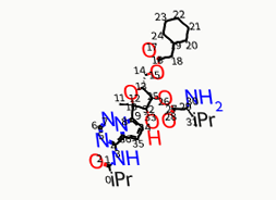 CC(C)C(=O)Nc1ncnn2c([C@]3(C)O[C@H](COC(=O)CC4CCCCC4)[C@@H](OC(=O)[C@@H](N)C(C)C)[C@H]3O)ccc12